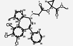 COC(=O)C1(OC(=O)CC[C@@H]2N=C(c3ccccn3)c3cc(Cl)c(Cl)c(Cl)c3-n3c(C)cnc32)CC1